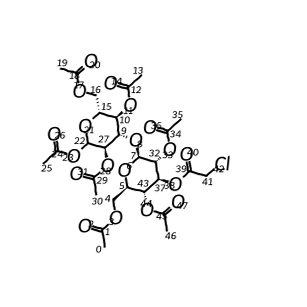 CC(=O)OC[C@H]1O[C@@H](O[C@H]2[C@H](OC(C)=O)[C@@H](COC(C)=O)OC(OC(C)=O)[C@@H]2OC(C)=O)[C@H](OC(C)=O)[C@@H](OC(=O)CCl)[C@@H]1OC(C)=O